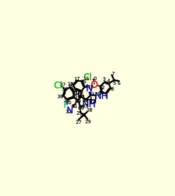 COc1cc(C(C)C)ccc1NC1=Nc2c(Cl)cccc2[C@H]2[C@H]1N[C@@H](CC(C)(C)C)[C@]2(C#N)c1ccc(Cl)cc1F